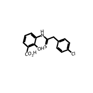 O=C(O)c1cccc(NC(=S)Cc2ccc(Cl)cc2)c1O